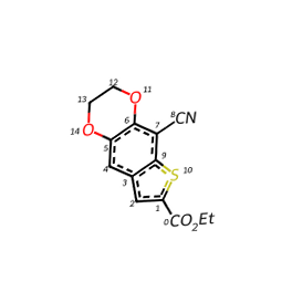 CCOC(=O)c1cc2cc3c(c(C#N)c2s1)OCCO3